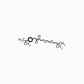 CC(C)CCOCCOCCNC(=O)Cc1ccc(C(C)C)cc1